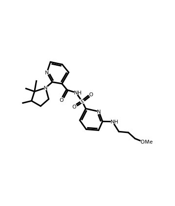 COCCCNc1cccc(S(=O)(=O)NC(=O)c2cccnc2N2CCC(C)C2(C)C)n1